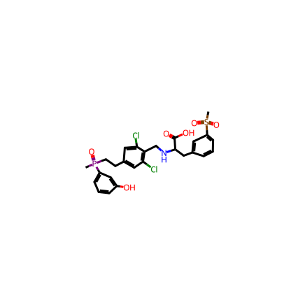 CP(=O)(CCc1cc(Cl)c(CNC(Cc2cccc(S(C)(=O)=O)c2)C(=O)O)c(Cl)c1)c1cccc(O)c1